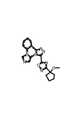 COC1(c2noc(-c3nnc4c5ccccc5n5cncc5n34)n2)CCCC1